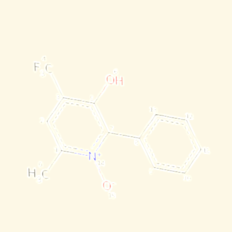 Cc1cc(C(F)(F)F)c(O)c(-c2ccccc2)[n+]1[O-]